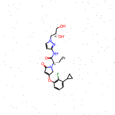 CC(C)C[C@@H](C(=O)Nc1ccn(C[C@@H](O)CO)n1)N1CC(Oc2cccc(C3CC3)c2F)=CC1=O